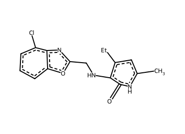 CCc1cc(C)[nH]c(=O)c1NCc1nc2c(Cl)cccc2o1